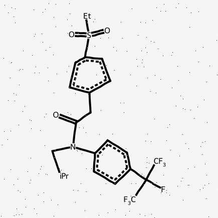 CCS(=O)(=O)c1ccc(CC(=O)N(CC(C)C)c2ccc(C(F)(C(F)(F)F)C(F)(F)F)cc2)cc1